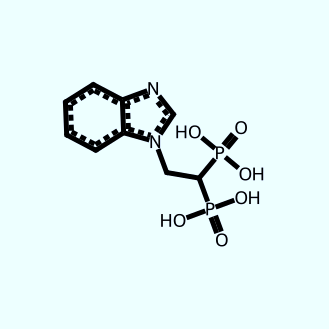 O=P(O)(O)C(Cn1cnc2ccccc21)P(=O)(O)O